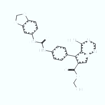 CCOC(=O)c1cn2ncnc(N)c2c1-c1ccc(NC(=O)Nc2ccc3c(c2)OCO3)cc1